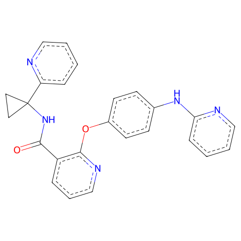 O=C(NC1(c2ccccn2)CC1)c1cccnc1Oc1ccc(Nc2ccccn2)cc1